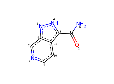 NC(=O)c1[nH]nc2cnccc12